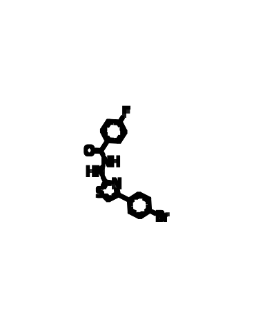 O=C(NNc1nc(-c2ccc(Br)cc2)cs1)c1ccc(F)cc1